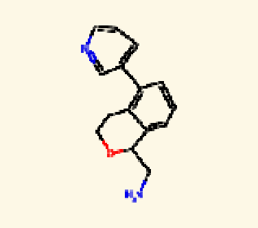 NCC1OCCc2c(-c3cccnc3)cccc21